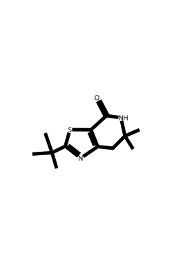 CC1(C)Cc2nc(C(C)(C)C)sc2C(=O)N1